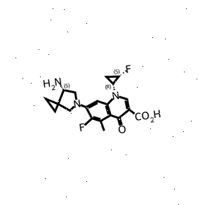 Cc1c(F)c(N2C[C@@H](N)C3(CC3)C2)cc2c1c(=O)c(C(=O)O)cn2[C@@H]1C[C@@H]1F